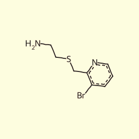 NCCSCc1ncccc1Br